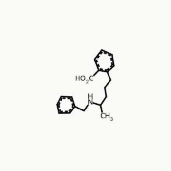 CC(CCCc1ccccc1C(=O)O)NCc1ccccc1